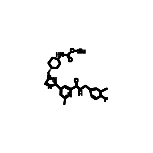 Cc1cc(-c2ncn(C[C@H]3CC[C@H](NC(=O)OC(C)(C)C)CC3)n2)cc(C(=O)NCc2ccc(F)c(C)c2)n1